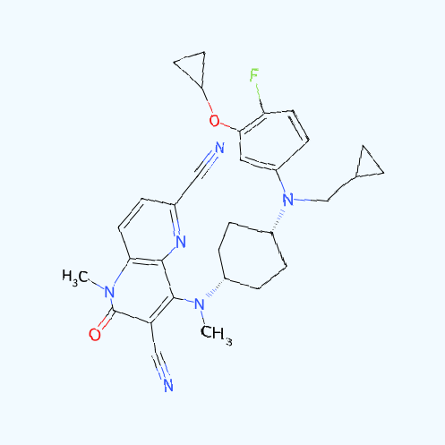 Cn1c(=O)c(C#N)c(N(C)[C@H]2CC[C@@H](N(CC3CC3)c3ccc(F)c(OC4CC4)c3)CC2)c2nc(C#N)ccc21